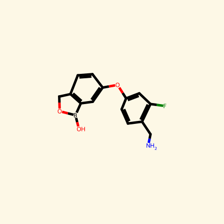 NCc1ccc(Oc2ccc3c(c2)B(O)OC3)cc1F